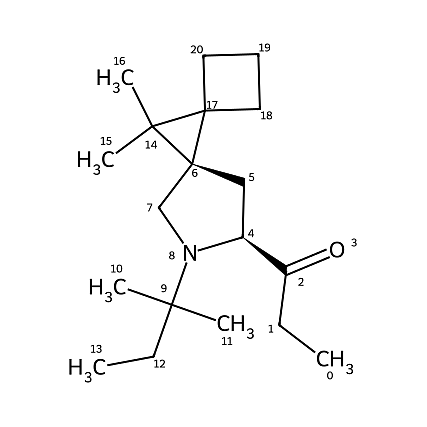 CCC(=O)[C@@H]1C[C@@]2(CN1C(C)(C)CC)C(C)(C)C21CCC1